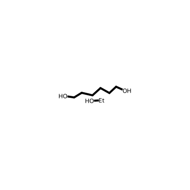 CCO.OCCCCCCO